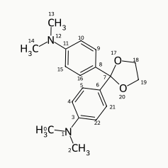 CN(C)c1ccc(C2(c3ccc(N(C)C)cc3)OCCO2)cc1